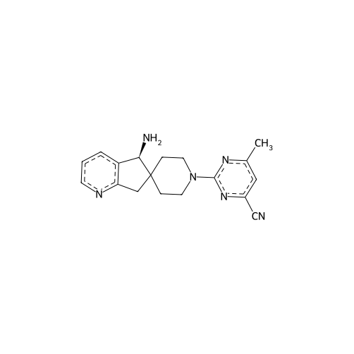 Cc1cc(C#N)nc(N2CCC3(CC2)Cc2ncccc2[C@H]3N)n1